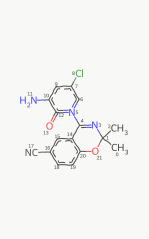 CC1(C)N=C(n2cc(Cl)cc(N)c2=O)c2cc(C#N)ccc2O1